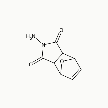 NN1C(=O)C2C3C=CC(O3)C2C1=O